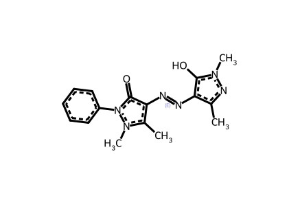 Cc1nn(C)c(O)c1/N=N/c1c(C)n(C)n(-c2ccccc2)c1=O